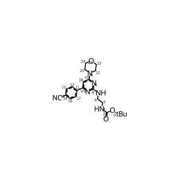 CC(C)(C)OC(=O)NCCNc1nc(-c2ccc(C#N)cc2)cc(N2CCOCC2)n1